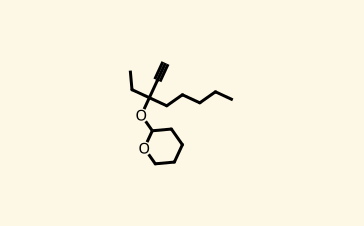 C#CC(CC)(CCCCC)OC1CCCCO1